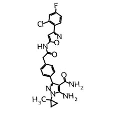 CC1(n2nc(-c3ccc(CC(=O)Nc4cc(-c5ccc(F)cc5Cl)no4)cc3)c(C(N)=O)c2N)CC1